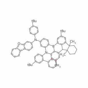 Cc1cc2c3c(c1)N(c1ccc(C(C)(C)C)cc1-c1ccccc1)c1cc(N(c4ccc(C(C)(C)C)cc4)c4ccc5c(c4)oc4ccccc45)ccc1B3c1cc(C(C)(C)C)cc3c1C2C1(C)CCCCC31C